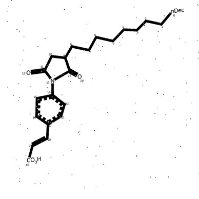 CCCCCCCCCCCCCCCCCCC1CC(=O)N(c2ccc(C=CC(=O)O)cc2)C1=O